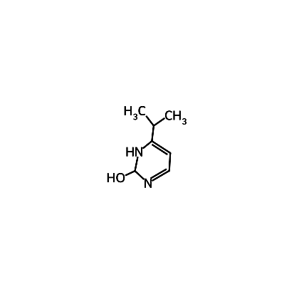 CC(C)C1=CC=NC(O)N1